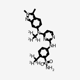 [2H]C([2H])([2H])c1ccc(Nc2nccc(N(c3ccc4c(C)n(C)nc4c3)C([2H])([2H])[2H])n2)cc1S(N)(=O)=O